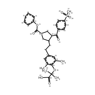 Cc1cc(CCC2CN(C(=O)Oc3ccccc3)CC2C(=O)c2ccc(S(C)(=O)=O)cc2)cc(C)c1OC(C)(C)C(=O)O